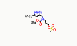 CSc1cc(CN(CCCOS(C)(=O)=O)C(=O)OC(C)(C)C)[nH]n1